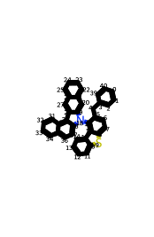 c1ccc(Cc2ccc3sc4ccccc4c3c2-n2c3cc4ccccc4cc3c3c4ccccc4ccc32)cc1